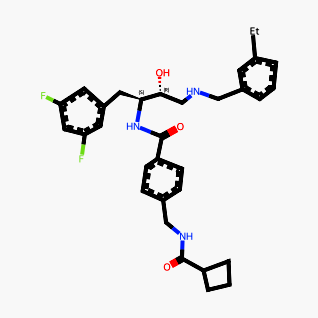 CCc1cccc(CNC[C@@H](O)[C@H](Cc2cc(F)cc(F)c2)NC(=O)c2ccc(CNC(=O)C3CCC3)cc2)c1